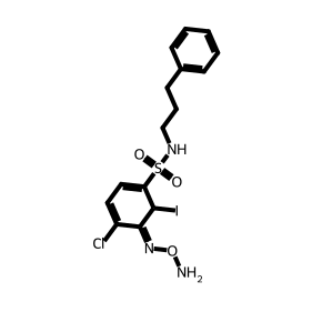 NO/N=C1/C(Cl)=CC=C(S(=O)(=O)NCCCc2ccccc2)C1I